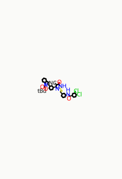 CC(C)(C)OC(=O)n1c(-c2cccc(-c3nc(SCc4cccc(NC(=O)c5ccc(Cl)c(Cl)c5)c4)[nH]c(=O)c3C#N)c2)cc2ccccc21